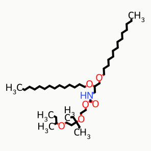 CCCCCCCCCCCCCCOCC(CNC(=O)OCCOC(CC)(CC)CCOC(C)CC)OCCCCCCCCCCCCCC